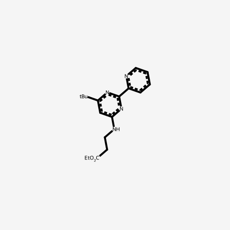 CCOC(=O)CCNc1cc(C(C)(C)C)nc(-c2ccccn2)n1